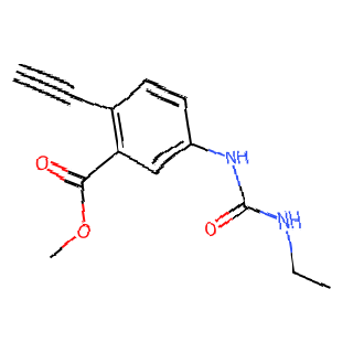 C#Cc1ccc(NC(=O)NCC)cc1C(=O)OC